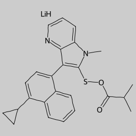 CC(C)C(=O)OSc1c(-c2ccc(C3CC3)c3ccccc23)c2ncccc2n1C.[LiH]